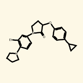 CCc1cc(N2CCC(Oc3ccc(C4CC4)cc3)C2=O)ccc1N1CCCC1